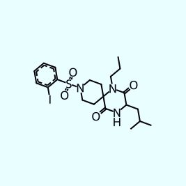 CCCN1C(=O)C(CC(C)C)NC(=O)C12CCN(S(=O)(=O)c1ccccc1I)CC2